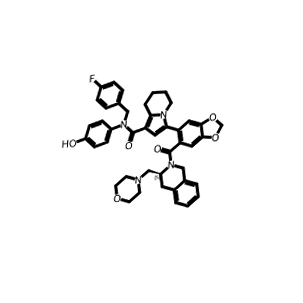 O=C(c1cc(-c2cc3c(cc2C(=O)N2Cc4ccccc4C[C@H]2CN2CCOCC2)OCO3)n2c1CCCC2)N(Cc1ccc(F)cc1)c1ccc(O)cc1